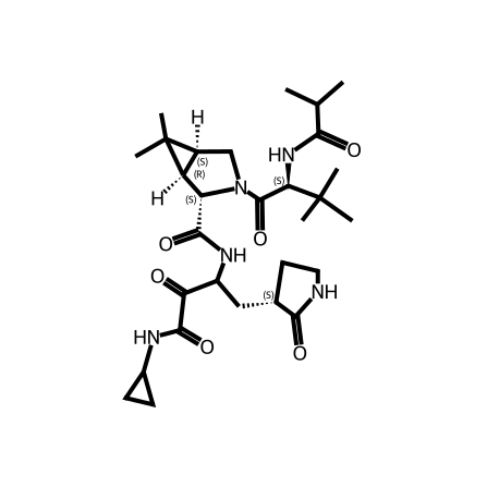 CC(C)C(=O)N[C@H](C(=O)N1C[C@H]2[C@@H]([C@H]1C(=O)NC(C[C@@H]1CCNC1=O)C(=O)C(=O)NC1CC1)C2(C)C)C(C)(C)C